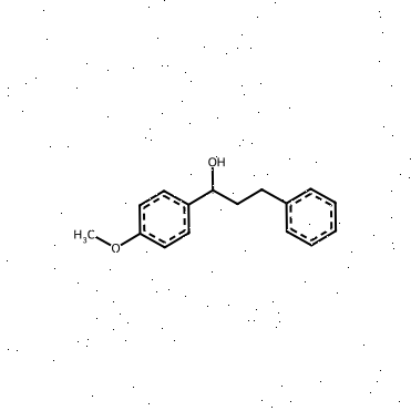 COc1ccc([C](O)CCc2ccccc2)cc1